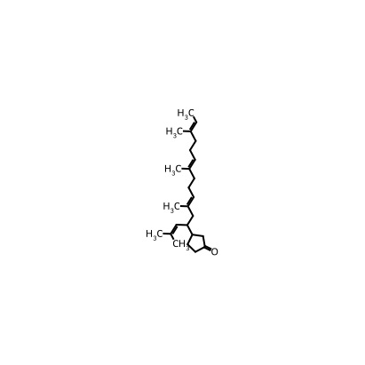 C/C=C(\C)CC/C=C(\C)CC/C=C(\C)CC(C=C(C)C)C1CCC(=O)C1